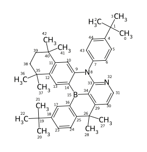 CC(C)(C)c1ccc(N2c3cc4c(cc3B3c5cc(C(C)(C)C)ccc5C(C)(C)c5ccnc2c53)C(C)(C)CCC4(C)C)cc1